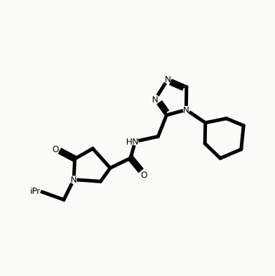 CC(C)CN1CC(C(=O)NCc2nncn2C2CCCCC2)CC1=O